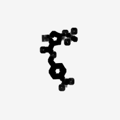 CS(=O)(=O)O[C@H]1CNC(C(=O)OCc2ccc([N+](=O)[O-])cc2)C1